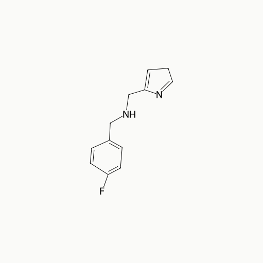 Fc1ccc(CNCC2=CCC=N2)cc1